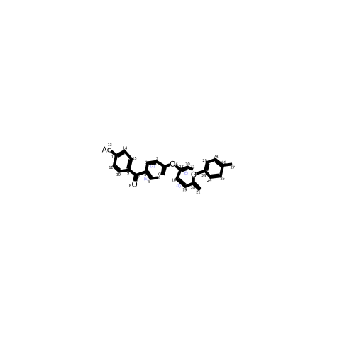 C=C(/C=C\C(=C/C)C(=O)c1ccc(C(C)=O)cc1)OC(/C=C\C(=C)Oc1ccc(C)cc1)=C/C